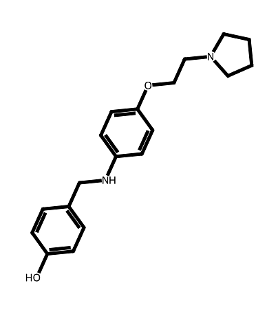 Oc1ccc(CNc2ccc(OCCN3CCCC3)cc2)cc1